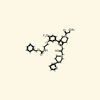 CC(=O)OCC(=O)N1CCc2c(c(-c3ccc(C(F)(F)F)c(SCCNC(=O)OCc4ccccc4)c3)nn2CC(O)CN2CCC(c3ccccn3)CC2)C1